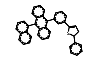 C1=C(c2cccc(-c3c4ccccc4c(-c4cccc5ccccc45)c4ccccc34)c2)SC(c2ccccc2)C1